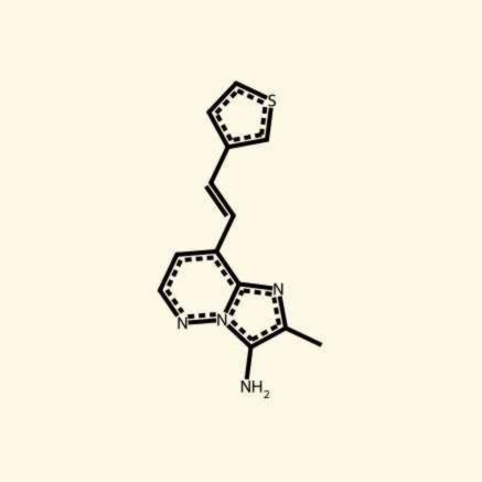 Cc1nc2c(/C=C/c3ccsc3)ccnn2c1N